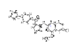 COC(=O)c1cc(Cl)ccc1/C=C/Cn1cccc1C(=O)c1ccc(-c2nccs2)cc1